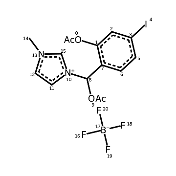 CC(=O)Oc1cc(I)ccc1C(OC(C)=O)[n+]1ccn(C)c1.F[B-](F)(F)F